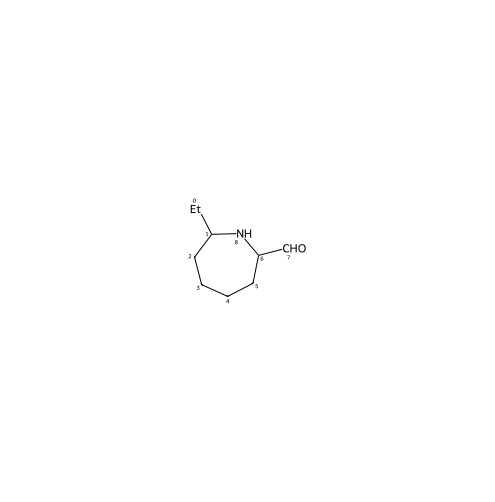 CCC1CCCCC(C=O)N1